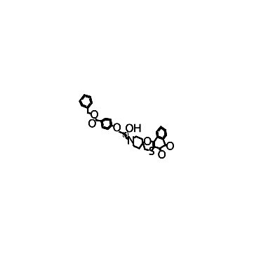 O=C1C(=O)c2ccccc2C2=C1SCC1(CCN(C[C@H](O)COc3ccc(C(=O)OCc4ccccc4)cc3)CC1)O2